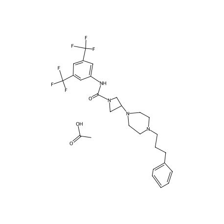 CC(=O)O.O=C(Nc1cc(C(F)(F)F)cc(C(F)(F)F)c1)N1CC(N2CCN(CCCc3ccccc3)CC2)C1